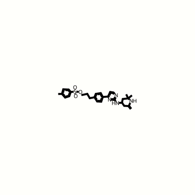 C=C1CC(Nc2nccc(-c3ccc(CCCOS(=O)(=O)c4ccc(C)cc4)cc3)n2)CC(C)(C)N1